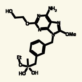 CCOP(C)(O)(O)Cc1cccc(Cn2c(OC)nc3c(N)nc(OCCO)nc32)c1